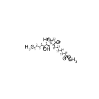 CCCCC[C@@H](O)C=C[C@H]1[C@H](CCCCCCC(=O)OC)C(=O)C[C@@H]1O